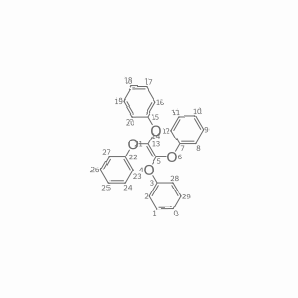 c1ccc(OC(Oc2ccccc2)=C(Oc2ccccc2)Oc2ccccc2)cc1